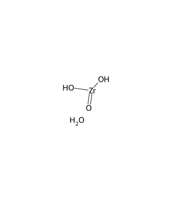 O.[O]=[Zr]([OH])[OH]